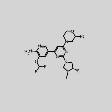 CC[C@H]1CN(c2cc(-c3cnc(N)c(OC(F)F)c3)nc(N3C[C@@H](F)[C@@H](F)C3)n2)CCO1